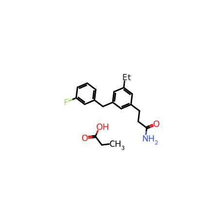 CCC(=O)O.CCc1cc(CCC(N)=O)cc(Cc2cccc(F)c2)c1